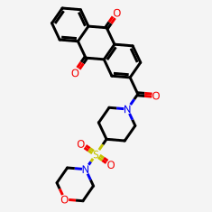 O=C1c2ccccc2C(=O)c2cc(C(=O)N3CCC(S(=O)(=O)N4CCOCC4)CC3)ccc21